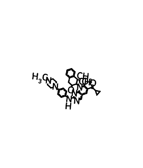 CN1CCN(c2ccc(Nc3ncc4cc(C(=O)C5CC5)c(=O)n(C5C(=O)Cc6ccccc6C5(C)C)c4n3)cc2)CC1